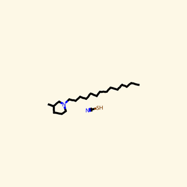 CCCCCCCCCCCCCCN1CCCC(C)C1.N#CS